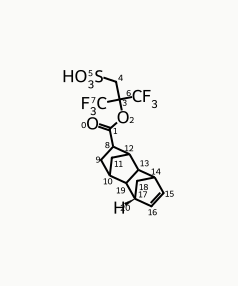 O=C(OC(CS(=O)(=O)O)(C(F)(F)F)C(F)(F)F)C1CC2CC1C1C3C=C[C@@H](C3)C21